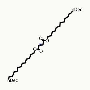 CCCCCCCCCCCCCCCCCCCCCCOC(=O)/C=C/C(=O)OCCCCCCCCCCCCCCCCCCCCCC